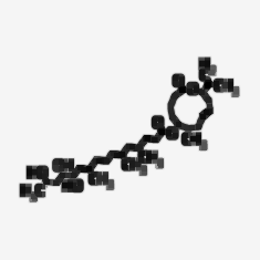 C=C(C)[C@H]1C/C=C/C[C@H](C)[C@@H](OC(=O)/C=C/C(C)=C/C(C)=C/C=C/C(C)=C/[C@H](O)[C@@H](O)C[C@H](C)O)CCCC(=O)O1